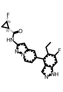 CCc1c(F)cc2[nH]ncc2c1-c1ccn2nc(NC(=O)[C@@H]3C[C@@H]3F)cc2c1